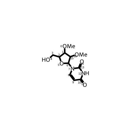 COC1C(CO)OC(n2ccc(=O)[nH]c2=O)C1OC